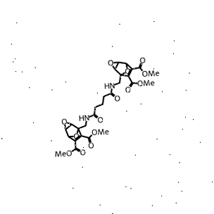 COC(=O)C1=C(C(=O)OC)C2(CNC(=O)CCCC(=O)NCC34OC(C(C(=O)OC)=C3C(=O)OC)C3OC34)OC1C1OC12